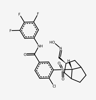 O=C(Nc1cc(F)c(F)c(F)c1)c1ccc(Cl)c(S(=O)(=O)[C@H]2C3CCC2C[C@H](/C=N/O)C3)c1